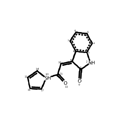 O=C1Nc2ccccc2C1=CC(=O)[SH]1C=CC=C1